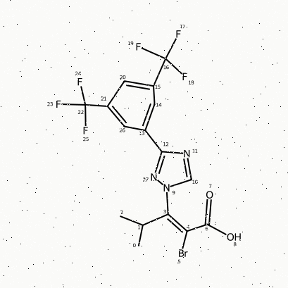 CC(C)/C(=C(\Br)C(=O)O)n1cnc(-c2cc(C(F)(F)F)cc(C(F)(F)F)c2)n1